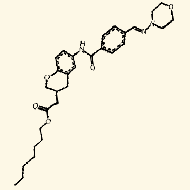 CCCCCCCOC(=O)CC1COc2ccc(NC(=O)c3ccc(/C=N/N4CCOCC4)cc3)cc2C1